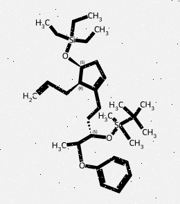 C=CC[C@@H]1C(CC[C@H](O[Si](C)(C)C(C)(C)C)C(C)Oc2ccccc2)=CC[C@@H]1O[Si](CC)(CC)CC